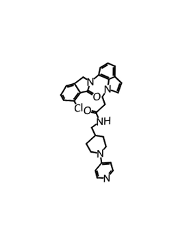 O=C(CCn1ccc2cccc(N3Cc4cccc(Cl)c4C3=O)c21)NCC1CCN(c2ccncc2)CC1